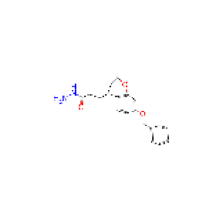 NNC(=O)CCC1CCOc2cc(OCc3ccccc3)ccc21